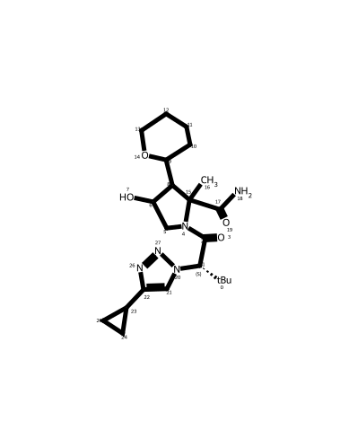 CC(C)(C)[C@@H](C(=O)N1CC(O)C(C2CCCCO2)C1(C)C(N)=O)n1cc(C2CC2)nn1